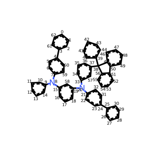 c1ccc(-c2ccc(N(c3ccccc3)c3cccc(N(c4ccc(-c5ccccc5)cc4)c4cccc(C5(c6ccccc6)c6ccccc6-c6ccccc65)c4)c3)cc2)cc1